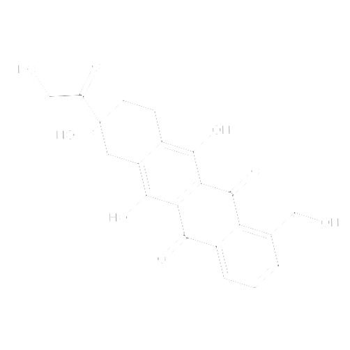 O=C1c2cccc(CO)c2C(=O)c2c(O)c3c(c(O)c21)C[C@@](O)(C(=O)CO)CC3